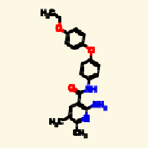 CCOc1ccc(Oc2ccc(NC(=O)c3cc(C)c(C)nc3N)cc2)cc1